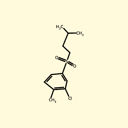 Cc1ccc(S(=O)(=O)CCC(C)C)cc1Cl